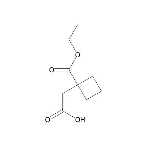 CCOC(=O)C1(CC(=O)O)CCC1